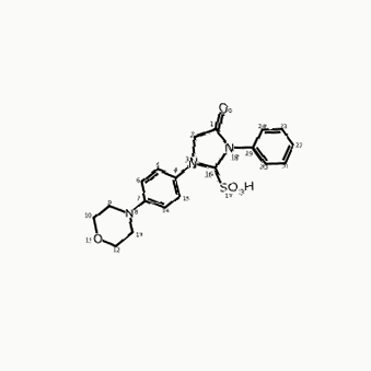 O=C1CN(c2ccc(N3CCOCC3)cc2)C(S(=O)(=O)O)N1c1ccccc1